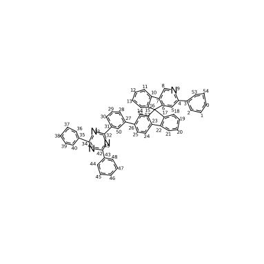 c1ccc(-c2cc3c(cn2)-c2ccccc2C32c3ccccc3-c3ccc(-c4cccc(-c5nc(-c6ccccc6)nc(-c6ccccc6)n5)c4)cc32)cc1